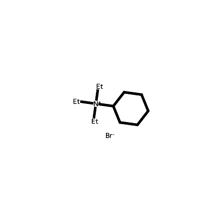 CC[N+](CC)(CC)C1CCCCC1.[Br-]